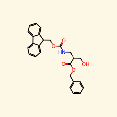 O=C(NC[C@@H](CO)C(=O)OCc1ccccc1)OCC1c2ccccc2-c2ccccc21